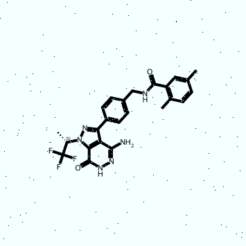 Cc1ccc(C)c(C(=O)NCc2ccc(-c3nn([C@@H](C)C(F)(F)F)c4c(=O)[nH]nc(N)c34)cc2)c1